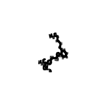 CCCCCc1ccccc1OCCOC(C)C